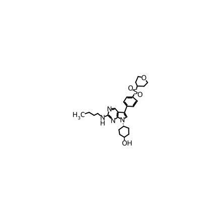 CCCCNc1ncc2c(-c3ccc(S(=O)(=O)C4CCOCC4)cc3)cn([C@H]3CC[C@H](O)CC3)c2n1